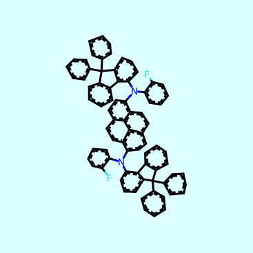 Fc1ccccc1N(c1cccc2c1-c1ccccc1C2(c1ccccc1)c1ccccc1)c1ccc2ccc3c(N(c4ccccc4F)c4cccc5c4-c4ccccc4C5(c4ccccc4)c4ccccc4)ccc4ccc1c2c43